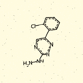 NNc1ncc(-c2ccccc2Cl)nn1